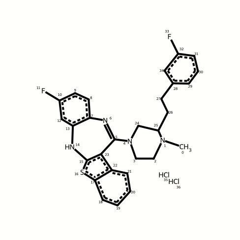 CN1CCN(C2=Nc3ccc(F)cc3Nc3sc4ccccc4c32)CC1CCc1cccc(F)c1.Cl.Cl